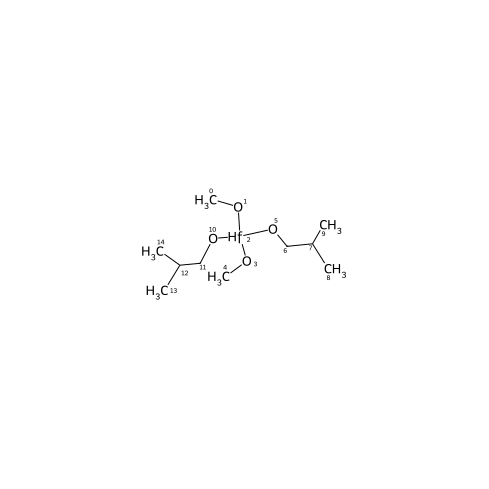 C[O][Hf]([O]C)([O]CC(C)C)[O]CC(C)C